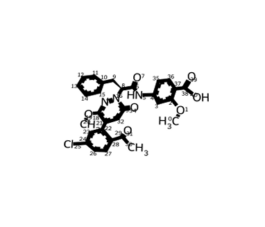 COc1cc(NC(=O)[C@H](Cc2ccccc2)n2nc(OC)c(-c3cc(Cl)ccc3C(C)=O)cc2=O)ccc1C(=O)O